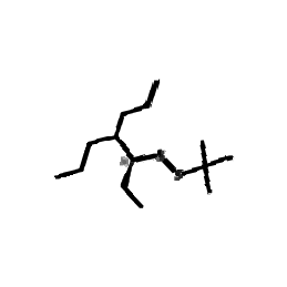 CCCC(CCC)[C@H](CC)SSC(C)(C)C